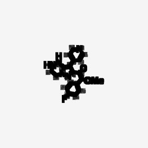 COC(C(=O)c1nn2c(c1-c1ccncc1)NNCC2)c1ccc(F)cc1